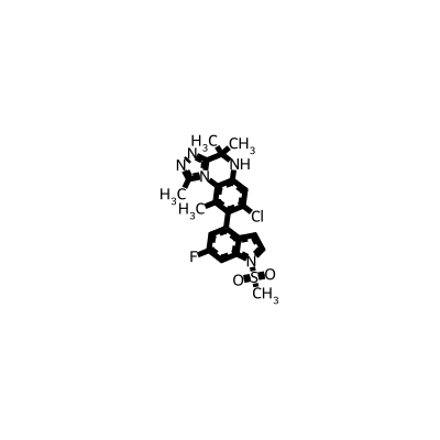 Cc1c(-c2cc(F)cc3c2ccn3S(C)(=O)=O)c(Cl)cc2c1-n1c(C)nnc1C(C)(C)N2